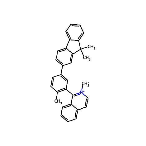 [CH2-][n+]1ccc2ccccc2c1-c1cc(-c2ccc3c(c2)C(C)(C)c2ccccc2-3)ccc1C